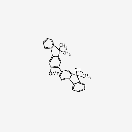 COc1cc2c(cc1-c1ccc3c(c1)C(C)(C)c1ccccc1-3)C(C)(C)c1ccccc1-2